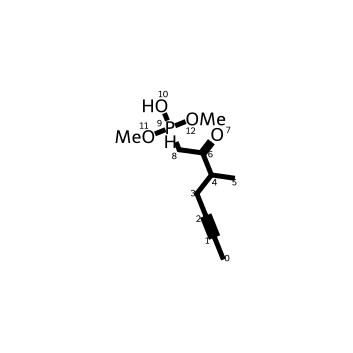 CC#CCC(C)C(=O)C[PH](O)(OC)OC